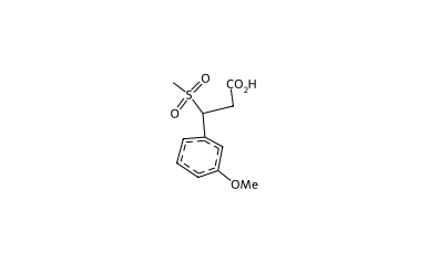 COc1cccc(C(CC(=O)O)S(C)(=O)=O)c1